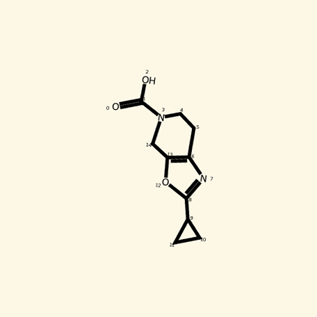 O=C(O)N1CCc2nc(C3CC3)oc2C1